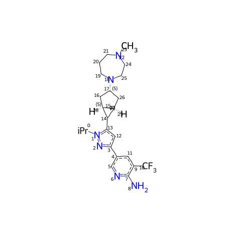 CC(C)n1nc(-c2cnc(N)c(C(F)(F)F)c2)cc1C1[C@H]2C[C@H](N3CCCN(C)CC3)C[C@@H]12